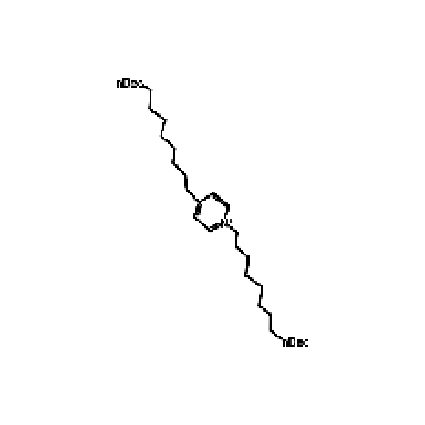 CCCCCCCCCCCCCCCCCCc1cc[n+](CCCCCCCCCCCCCCCCCC)cc1